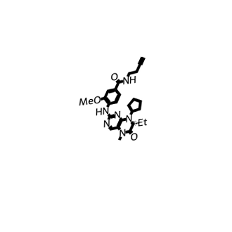 C#CCCNC(=O)c1ccc(Nc2ncc3c(n2)N(C2CCCC2)[C@H](CC)C(=O)N3C)c(OC)c1